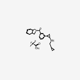 O=C(O)C(F)(F)F.O=C(c1cccc(C2CC2NCC2CC2)c1)N1Cc2ccccc2C1